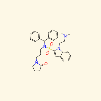 CN(C)CCn1c(S(=O)(=O)N(CCCN2CCCC2=O)C(c2ccccc2)c2ccccc2)cc2ccccc21